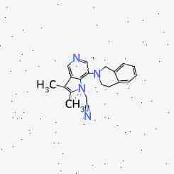 Cc1c(C)n(CC#N)c2c(N3CCc4ccccc4C3)cncc12